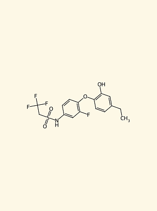 CCc1ccc(Oc2ccc(NS(=O)(=O)CC(F)(F)F)cc2F)c(O)c1